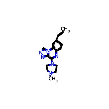 CC=Cc1ccc2nc(N3CCN(C)CC3)c3nncn3c2c1